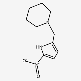 O=[N+]([O-])c1ccc([CH]N2CCCCC2)[nH]1